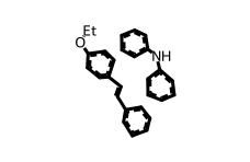 CCOc1ccc(C=Cc2ccccc2)cc1.c1ccc(Nc2ccccc2)cc1